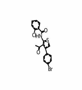 CC(=O)c1c(-c2ccc(Br)cc2)csc1NC(=O)c1ccccc1Cl